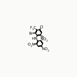 O=[N+]([O-])c1cc([N+](=O)[O-])c(Nc2c(Br)cc(Cl)c(C(F)(F)F)c2Br)c([N+](=O)[O-])c1